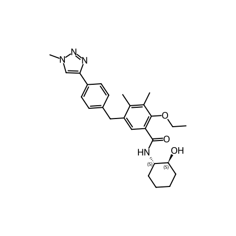 CCOc1c(C(=O)N[C@H]2CCCC[C@@H]2O)cc(Cc2ccc(-c3cn(C)nn3)cc2)c(C)c1C